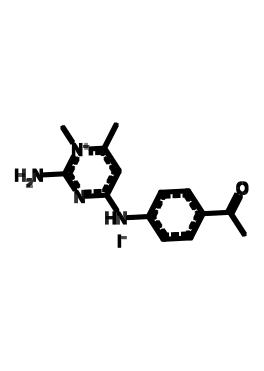 CC(=O)c1ccc(Nc2cc(C)[n+](C)c(N)n2)cc1.[I-]